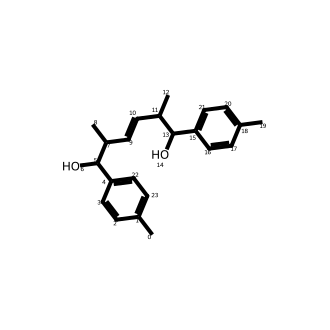 Cc1ccc(C(O)C(C)/C=C/C(C)C(O)c2ccc(C)cc2)cc1